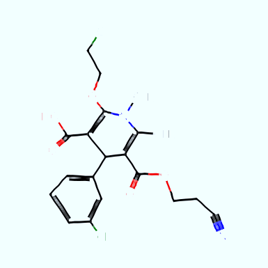 CC1=C(C(=O)OCCC#N)C(c2cccc(Cl)c2)C(C(=O)O)=C(OCCCl)N1C